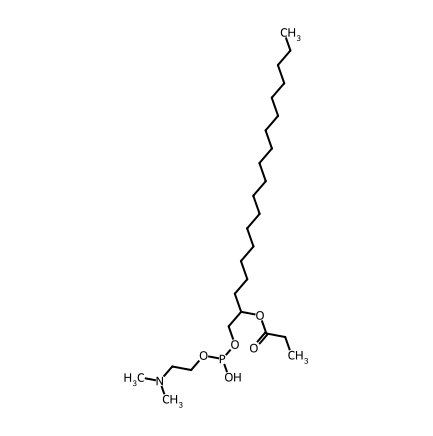 CCCCCCCCCCCCCCCCCC(COP(O)OCCN(C)C)OC(=O)CC